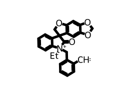 [CH]c1ccccc1C[N+]1(CC)C(=O)C2(COc3cc4c(cc32)OCO4)c2ccccc21